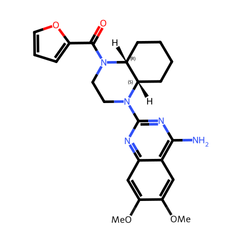 COc1cc2nc(N3CCN(C(=O)c4ccco4)[C@@H]4CCCC[C@@H]43)nc(N)c2cc1OC